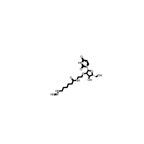 N=NNCCCCCC(=O)NCCOC1C(O)[C@@H](CO)O[C@H]1n1ccc(=O)[nH]c1=O